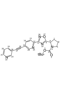 CC(C)(C)OC(=O)N1CCCC1c1nc(-c2ccc(C#Cc3cccnc3)cn2)no1